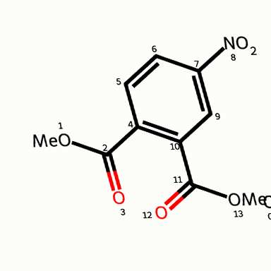 C.COC(=O)c1ccc([N+](=O)[O-])cc1C(=O)OC